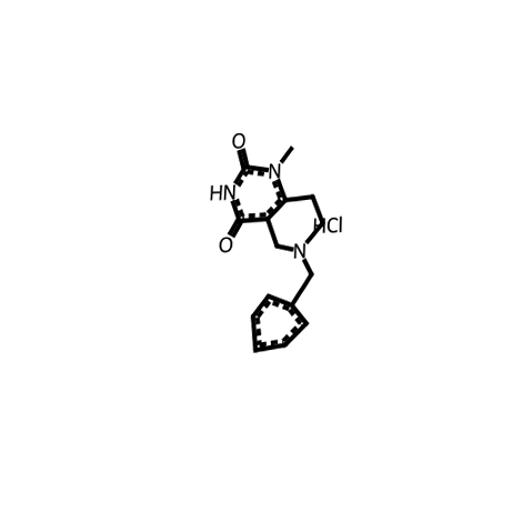 Cl.Cn1c2c(c(=O)[nH]c1=O)CN(Cc1ccccc1)CC2